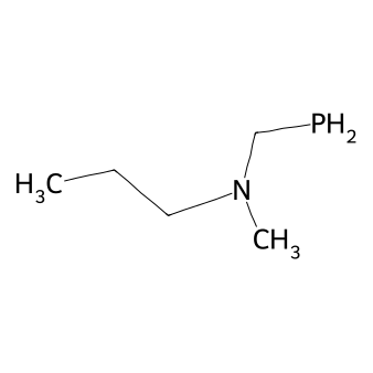 CCCN(C)CP